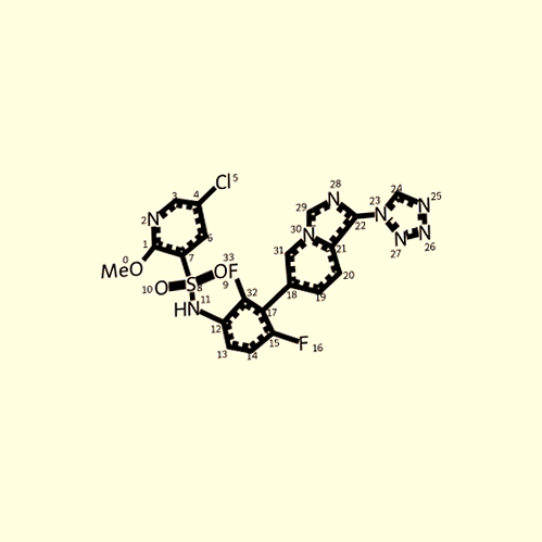 COc1ncc(Cl)cc1S(=O)(=O)Nc1ccc(F)c(-c2ccc3c(-n4cnnn4)ncn3c2)c1F